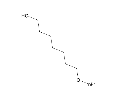 CCCOCCCCCCCO